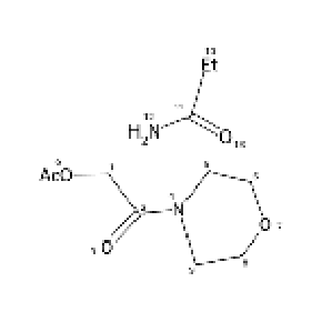 CC(=O)OCC(=O)N1CCOCC1.CCC(N)=O